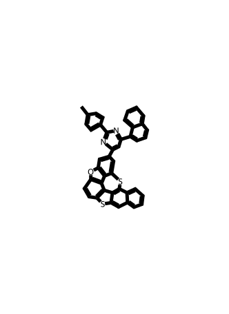 Cc1ccc(-c2nc(-c3cc4oc5ccc6sc7cc8ccccc8c8sc(c3)c4c5c6c78)cc(-c3cccc4ccccc34)n2)cc1